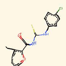 Cc1ccoc1C(=O)NC(=S)Nc1ccc(Cl)cc1